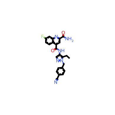 CCc1c(NC(=O)c2cc(C(N)=O)nc3cc(F)ccc23)cnn1Cc1ccc(C#N)cc1